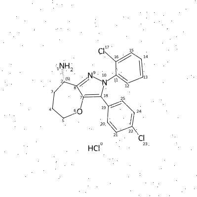 Cl.N[C@H]1CCCOc2c1nn(-c1ccccc1Cl)c2-c1ccc(Cl)cc1